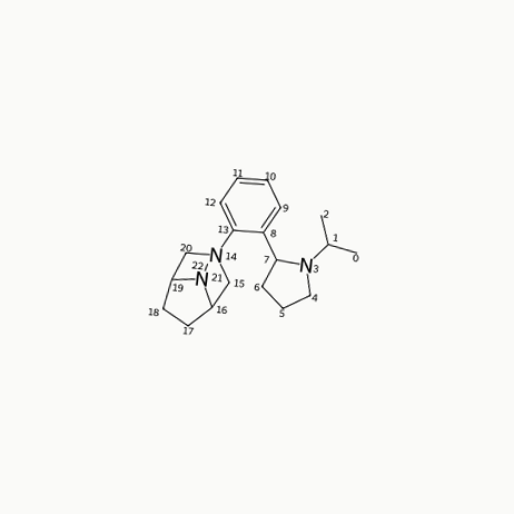 CC(C)N1CCCC1c1ccccc1N1CC2CCC(C1)N2C